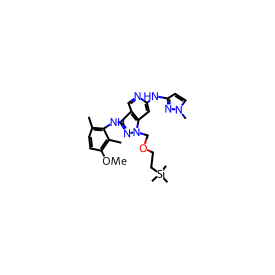 COc1ccc(C)c(Nc2nn(COCC[Si](C)(C)C)c3cc(Nc4ccn(C)n4)ncc23)c1C